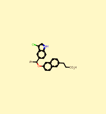 CC(C)C(Oc1ccc2cc(CCC(=O)O)ccc2c1)c1ccc2[nH]cc(Cl)c2c1